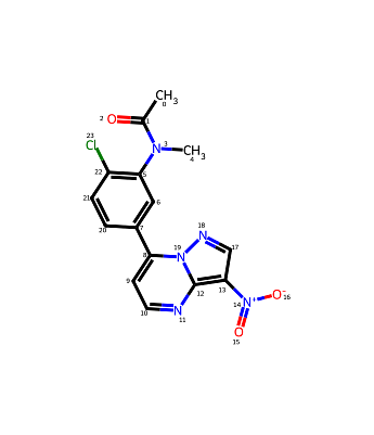 CC(=O)N(C)c1cc(-c2ccnc3c([N+](=O)[O-])cnn23)ccc1Cl